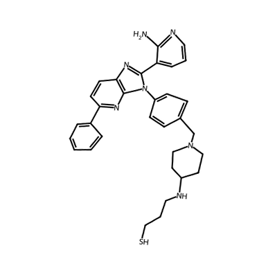 Nc1ncccc1-c1nc2ccc(-c3ccccc3)nc2n1-c1ccc(CN2CCC(NCCCS)CC2)cc1